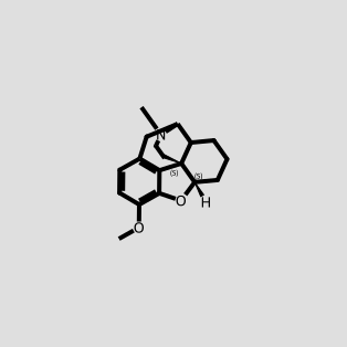 COc1ccc2c3c1O[C@H]1CCCC4C(C2)N(C)CC[C@@]341